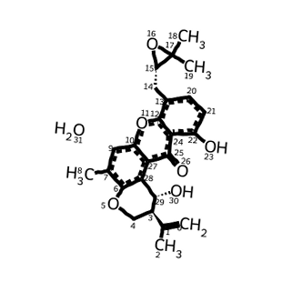 C=C(C)[C@H]1COc2c(C)cc3oc4c(C[C@@H]5OC5(C)C)ccc(O)c4c(=O)c3c2[C@@H]1O.O